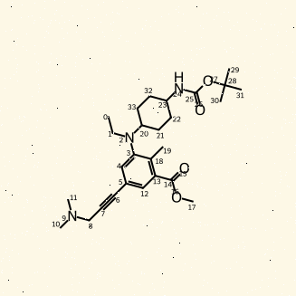 CCN(c1cc(C#CCN(C)C)cc(C(=O)OC)c1C)C1CCC(NC(=O)OC(C)(C)C)CC1